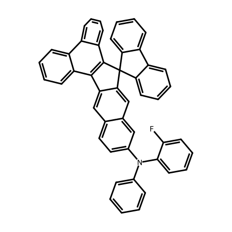 Fc1ccccc1N(c1ccccc1)c1ccc2cc3c(cc2c1)C1(c2ccccc2-c2ccccc21)c1c-3c2ccccc2c2ccccc12